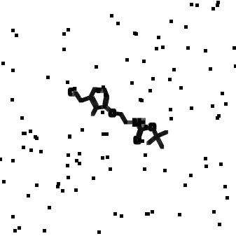 Cc1c(CCl)cccc1OCCNC(=O)OC(C)(C)C